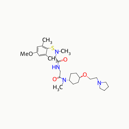 COc1cc(C)c(SN(C)CC(=O)NCC(=O)N(C)[C@H]2CC[C@H](OCCN3CCCC3)CC2)c(C)c1